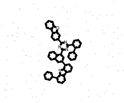 c1ccc(-c2ccccc2-c2nc(-c3ccc4c(c3)oc3ccccc34)nc(-c3cc(-c4cccc5c4sc4c(-c6ccccc6)cccc45)cc4ccccc34)n2)cc1